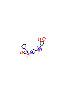 COc1ccc(-c2noc(C3CCN(C(=O)C4CC(=O)N(C5CCCCC5)C4)CC3)n2)cc1OC